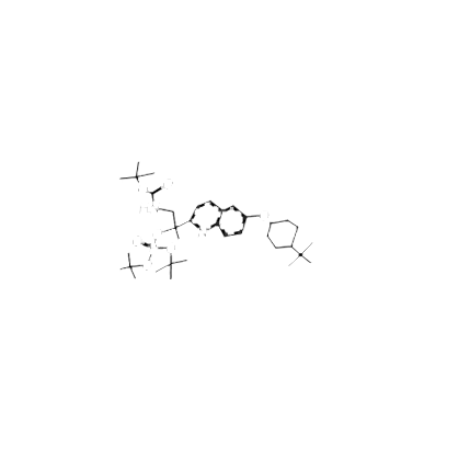 CC(C)(C)OC(=O)NCC(C)(OP(=O)(OC(C)(C)C)OC(C)(C)C)c1ccc2cc(OC3CCC(C(C)(C)C)CC3)ccc2n1